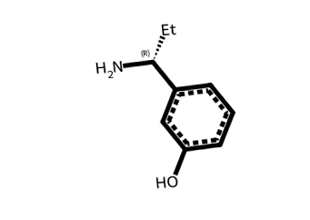 CC[C@@H](N)c1cccc(O)c1